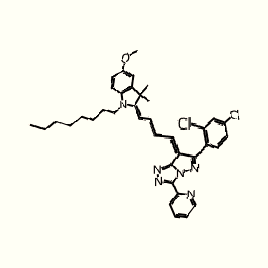 CCCCCCCCN1/C(=C/C=C/C=c2/c(-c3ccc(Cl)cc3Cl)nn3c(-c4ccccn4)nnc23)C(C)(C)c2cc(OC)ccc21